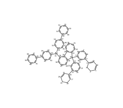 C1=CCCC(c2cccc(C3(c4cccc(C5=CCCC=C5)c4)c4ccccc4-c4c(N(c5ccc(-c6ccccc6)cc5)c5ccc(-c6ccccc6)cc5)cccc43)c2)=C1